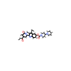 CCC(=O)c1cc2n(c(=O)c1C)Cc1c-2nc2ccc(OC(=O)N3CCC(N4CCCCC4)CC3)cc2c1CC